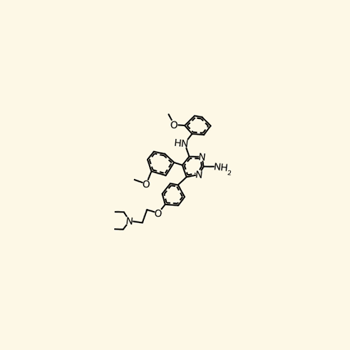 CCN(CC)CCOc1ccc(-c2nc(N)nc(Nc3ccccc3OC)c2-c2cccc(OC)c2)cc1